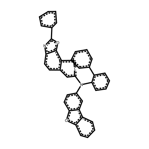 c1ccc(-c2nc3ccc4cc(N(c5ccc6oc7ccccc7c6c5)c5ccccc5-c5ccccc5)ccc4c3o2)cc1